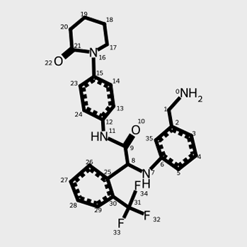 NCc1cccc(NC(C(=O)Nc2ccc(N3CCCCC3=O)cc2)c2ccccc2C(F)(F)F)c1